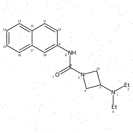 CCN(CC)C1CN(C(=O)Nc2ccc3ccccc3c2)C1